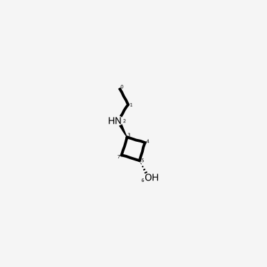 CCN[C@H]1C[C@H](O)C1